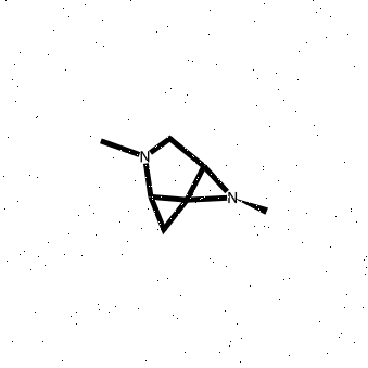 CN1CC2[N@@](C)C23CC13